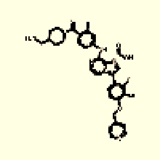 Cc1cc(Nc2nccn3c(-c4ccc(OCc5ccncc5)c(F)c4F)cnc23)ccc1C(=O)N1CCC(CN)CC1.O=CO